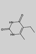 CCc1c(C)[nH]c(=O)[nH]c1=O